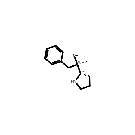 C[C@@](O)(Cc1ccccc1)[C@@H]1CCCN1